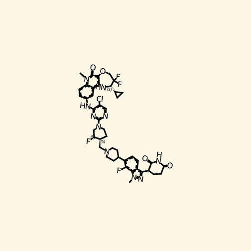 Cn1nc(C2CCC(=O)NC2=O)c2ccc(C3CCN(C[C@@H]4CCN(c5ncc(Cl)c(Nc6ccc7c(c6)c6c(c(=O)n7C)OCC(F)(F)[C@H](C7CC7)N6)n5)C[C@@H]4F)CC3)c(F)c21